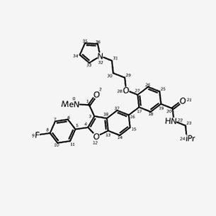 CNC(=O)c1c(-c2ccc(F)cc2)oc2ccc(-c3cc(C(=O)NCC(C)C)ccc3OCCCn3cccc3)cc12